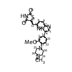 COc1cc(-c2cnc3ccc(/C=C4\SC(=O)NC4=O)nn23)ccc1N1CCN(C)CC1